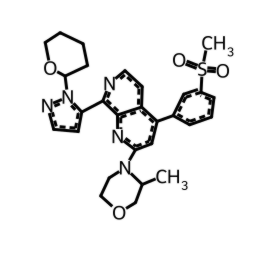 CC1COCCN1c1cc(-c2cccc(S(C)(=O)=O)c2)c2ccnc(-c3ccnn3C3CCCCO3)c2n1